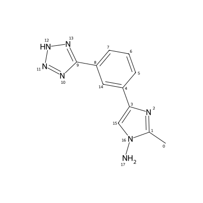 Cc1nc(-c2cccc(-c3nn[nH]n3)c2)cn1N